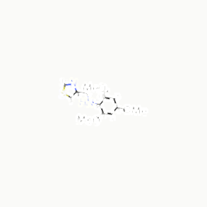 COc1cc(OC)c(NCc2cs[c]n2)c(OC)c1